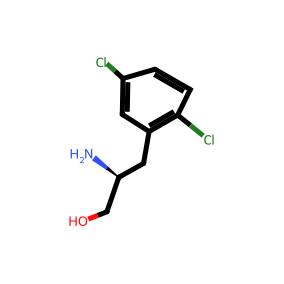 N[C@H](CO)Cc1cc(Cl)ccc1Cl